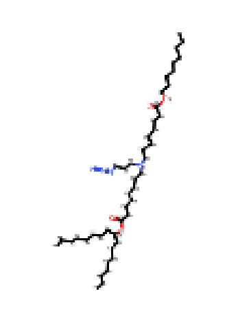 CCCCCCCCCOC(=O)CCCCCCCN(CCCCCCCC(=O)OC(CCCCCCCC)CCCCCCCC)CCCN=[N+]=[N-]